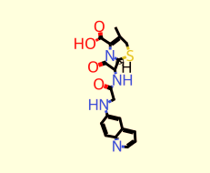 CC1=C(C(=O)O)N2C(=O)C(NC(=O)CNc3ccc4ncccc4c3)[C@@H]2SC1